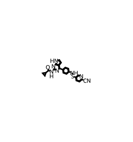 N#Cc1ccc(SNc2ccc(-c3nc(NC(=O)C4CC4)nc4[nH]ccc34)cc2)cn1